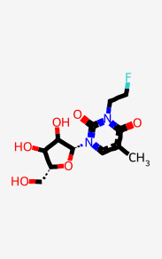 Cc1cn([C@@H]2O[C@H](CO)C(O)C2O)c(=O)n(CCF)c1=O